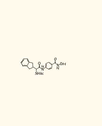 CC(=O)NC(C(=O)Nc1ccc(C(=O)NO)cc1)C1Cc2ccccc2C1